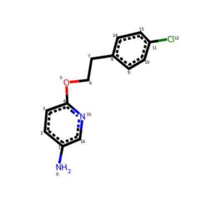 Nc1ccc(OCCc2ccc(Cl)cc2)nc1